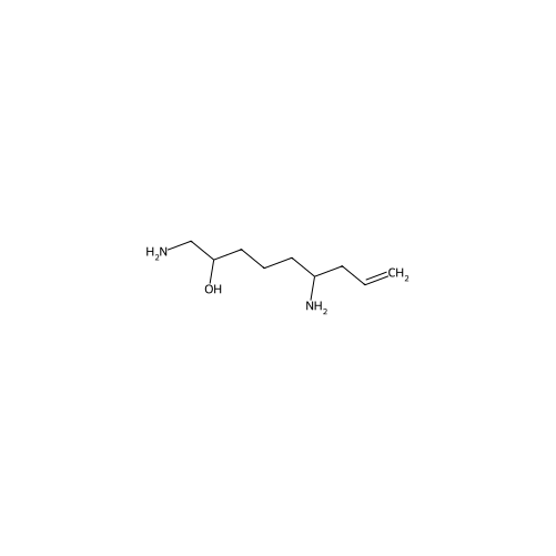 C=CCC(N)CCCC(O)CN